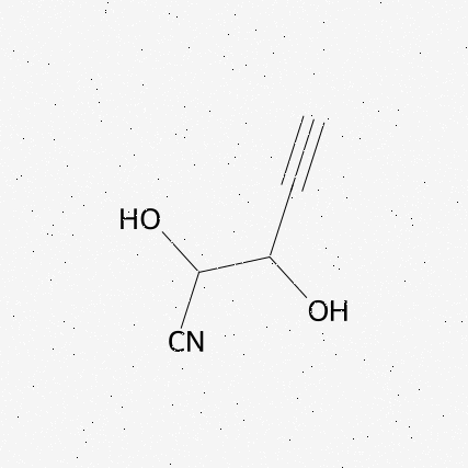 C#CC(O)C(O)C#N